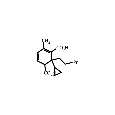 CC1=C(C(=O)O)C(CCC(C)C)(C2CC2)C(C(=O)O)C=C1